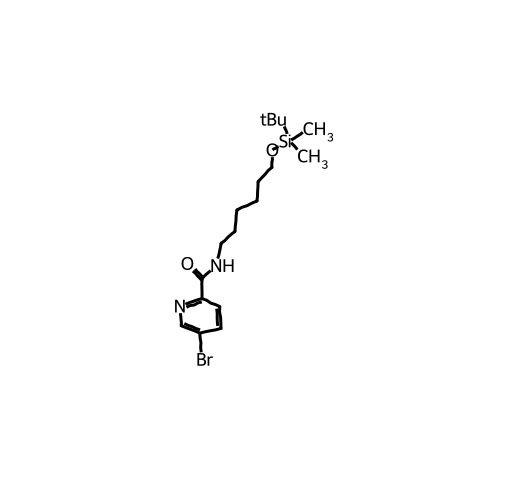 CC(C)(C)[Si](C)(C)OCCCCCCNC(=O)c1ccc(Br)cn1